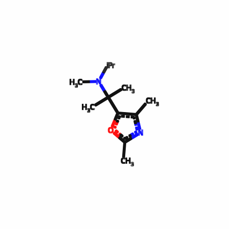 Cc1nc(C)c(C(C)(C)N(C)C(C)C)o1